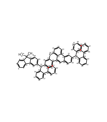 CC1(C)c2ccccc2-c2cc(N(c3ccc4c(c3)Sc3cccc5c3c-4cc3ccc(N(c4cccnc4)c4ccccc4-c4ccccc4)cc35)c3ccccc3-c3ccccc3)ccc21